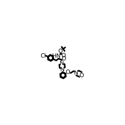 CC(C)(C)OC(=O)NC(Cc1ccc(Cl)cc1)C(=O)N1CCN(c2ccccc2OCCN2CCOCC2)CC1